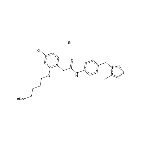 CCCCCCCCCCCCCCOc1cc(Cl)ccc1CC(=O)Nc1ccc(C[n+]2cscc2C)cc1.[Br-]